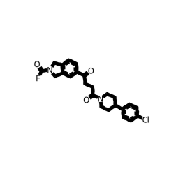 O=C(CCC(=O)N1CCC(c2ccc(Cl)cc2)CC1)c1ccc2c(c1)CN(C(=O)F)C2